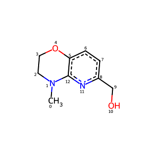 CN1CCOc2ccc(CO)nc21